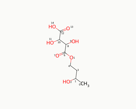 CC(O)CCOC(=O)C(O)C(O)C(=O)O